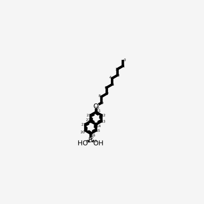 CCCCCCCCCCOc1ccc2cc(B(O)O)ccc2c1